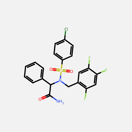 NC(=O)C(c1ccccc1)N(Cc1cc(F)c(F)cc1F)S(=O)(=O)c1ccc(Cl)cc1